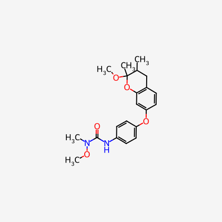 CON(C)C(=O)Nc1ccc(Oc2ccc3c(c2)OC(C)(OC)C(C)C3)cc1